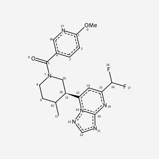 COc1ccc(C(=O)N2CCC(C)[C@H](c3cc(C(F)F)nc4ncnn34)C2)cn1